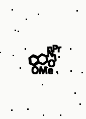 CCCN1CCOC2Cc3c(cccc3OC)CC21